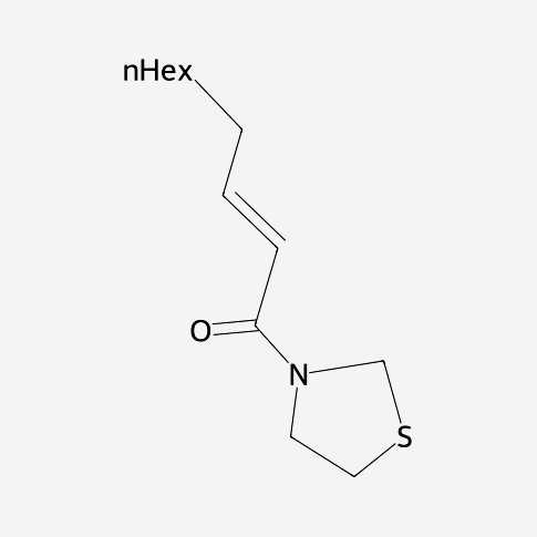 CCCCCCCC=CC(=O)N1CCSC1